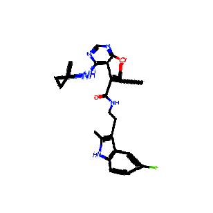 Cc1[nH]c2ccc(F)cc2c1CCNC(=O)c1c(C)oc2ncnc(NC3(C)CC3)c12